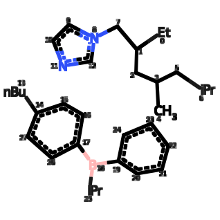 CCC(CC(C)CC(C)C)Cn1ccnc1.CCCCc1ccc(B(c2ccccc2)C(C)C)cc1